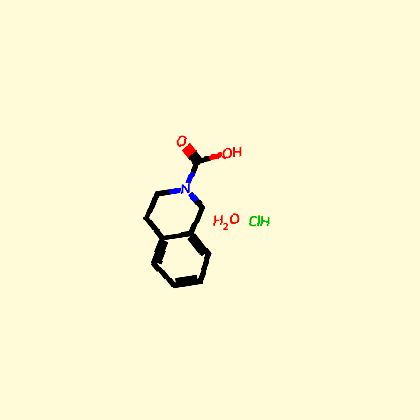 Cl.O.O=C(O)N1CCc2ccccc2C1